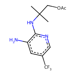 CC(=O)OCC(C)(C)Nc1ncc(C(F)(F)F)cc1N